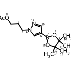 CC(=O)OCCCn1cc(B2OC(C)(C)C(C)(C)O2)cn1